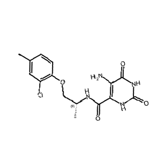 Cc1ccc(OC[C@@H](C)NC(=O)c2[nH]c(=O)[nH]c(=O)c2N)c(Cl)c1